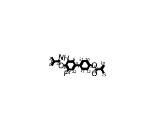 C=C(C)C(=N)Oc1ccc(-c2ccc(OC(=O)C(=C)C)cc2)cc1F